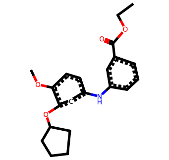 CCOC(=O)c1cccc(Nc2ccc(OC)c(OC3CCCC3)c2)c1